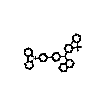 CC1(C)c2ccccc2-c2ccc(C(c3ccc(-c4ccc(-n5c6ccccc6c6ccccc65)cc4)cc3)c3cccc4ccccc34)cc21